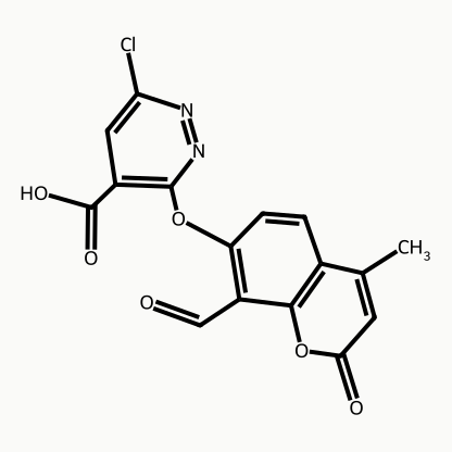 Cc1cc(=O)oc2c(C=O)c(Oc3nnc(Cl)cc3C(=O)O)ccc12